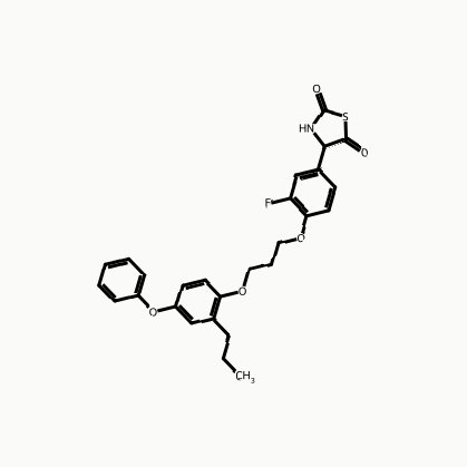 CCCc1cc(Oc2ccccc2)ccc1OCCCOc1ccc(C2NC(=O)SC2=O)cc1F